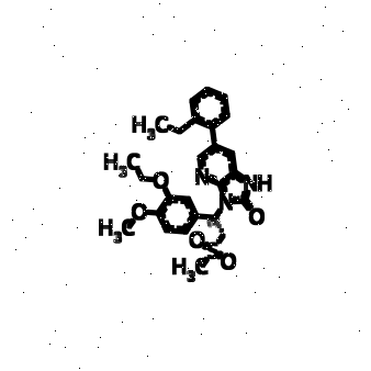 CCOc1cc([C@@H](CS(C)(=O)=O)n2c(=O)[nH]c3cc(-c4ccccc4CC)cnc32)ccc1OC